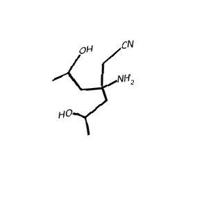 CC(O)CC(N)(CC#N)CC(C)O